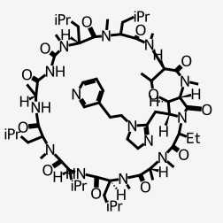 CCC1C(=O)N(C)[C@H](C)C(=O)N(C)[C@@H](CC(C)C)C(=O)N[C@H](C(C)C)C(=O)N(C)C(CC(C)C)C(=O)N[C@H](C)C(=O)NC(=O)N(C)[C@H](CC(C)C)C(=O)N(C)C(CC(C)C)C(=O)N(C)[C@@H]2C(=O)N(C)[C@@H]3C(=O)N1[C@H](CC1=NCCN1CCc1cccnc1)[C@H]3OC2C